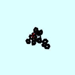 CC1C=C(c2ccccc2N(c2ccc(-c3cccc4c3ccc3ccccc34)cc2)c2cccc(-n3c4ccccc4c4ccccc43)c2)C(c2ccccc2)=CC1